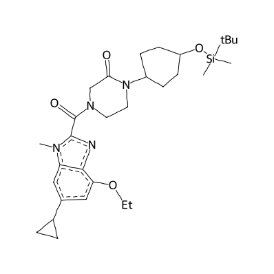 CCOc1cc(C2CC2)cc2c1nc(C(=O)N1CCN(C3CCC(O[Si](C)(C)C(C)(C)C)CC3)C(=O)C1)n2C